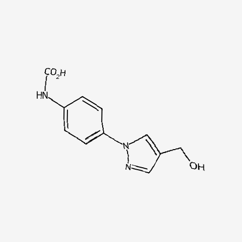 O=C(O)Nc1ccc(-n2cc(CO)cn2)cc1